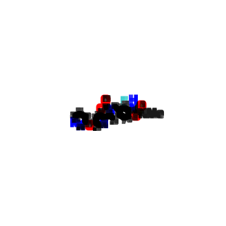 CNS(=O)(=O)Nc1cccc(CN2C(=O)Oc3cc(Oc4cccnn4)cnc3C2C)c1F